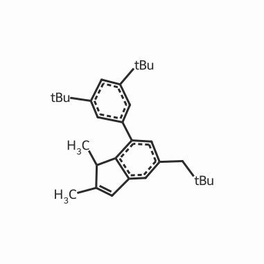 CC1=Cc2cc(CC(C)(C)C)cc(-c3cc(C(C)(C)C)cc(C(C)(C)C)c3)c2C1C